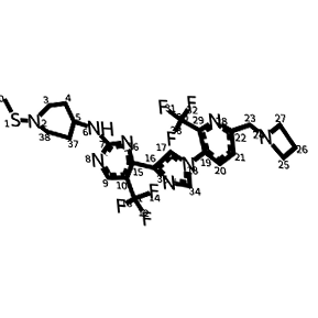 CSN1CCC(Nc2ncc(C(F)(F)F)c(-c3cn(-c4ccc(CN5CCC5)nc4C(F)(F)F)cn3)n2)CC1